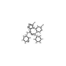 Cc1ccc2c(c1)-n1c(C)nnc1N(Cc1cccnc1)N=C2c1ccccc1